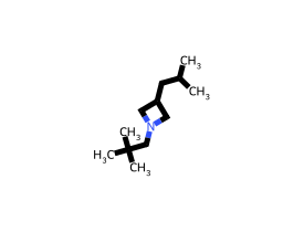 CC(C)CC1CN(CC(C)(C)C)C1